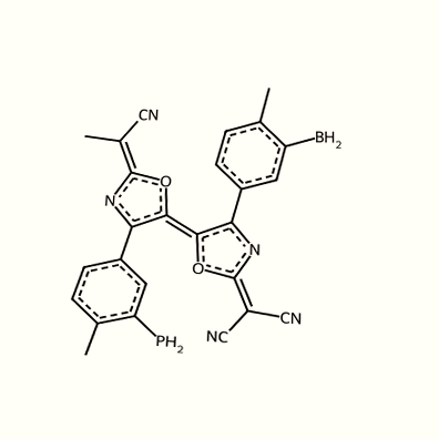 Bc1cc(-c2nc(=C(C#N)C#N)o/c2=c2/o/c(=C(/C)C#N)nc2-c2ccc(C)c(P)c2)ccc1C